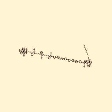 CCCCCCCCCCCCCC(C)C(=O)OC(CC(=O)NCCOCCOCCOCCOCCOCCOCCOCCOCCNC(=O)CCCCCNC(=O)CCCCCNC(=O)CCCC[C@@H]1SC[C@@H]2NC(=O)N[C@@H]21)C[N+](C)(C)C